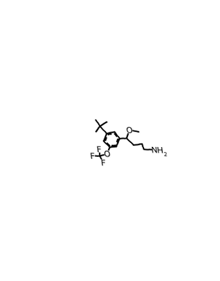 COC(CCCN)c1cc(OC(F)(F)F)cc(C(C)(C)C)c1